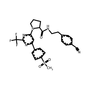 CS(=O)(=O)c1ccc(-c2cc(N3CCCC3C(=O)NCCc3ccc(C#N)cc3)nc(C(F)(F)F)n2)cc1